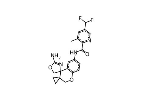 Cc1cc(C(F)F)cnc1C(=O)Nc1ccc2c(c1)C1(COC(N)=N1)C1(CC1)CO2